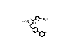 CCOC(=O)C[C@@H](Cc1ccc(-c2cccc(Cl)c2)cc1)NC(=O)c1ccc(C(=O)O)o1